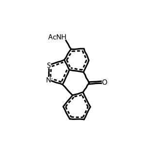 CC(=O)Nc1ccc2c3c(nsc13)-c1ccccc1C2=O